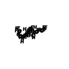 CN(C)C(Cc1c[nH]c2ccc(Oc3cccc(C(F)(F)F)c3)cc12)OC(=O)C(=O)OC(Cc1c[nH]c2ccc(Oc3cccc(C(F)(F)F)c3)cc12)N(C)C